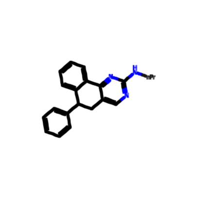 CCCNc1ncc2c(n1)-c1ccccc1C(c1ccccc1)C2